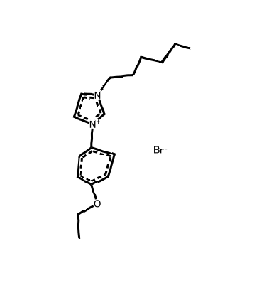 CCCCCCn1cc[n+](-c2ccc(OCC)cc2)c1.[Br-]